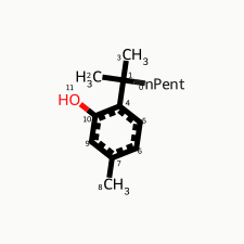 CCCCCC(C)(C)c1ccc(C)cc1O